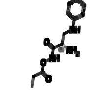 CCC(=O)ONC(=O)[C@@H](N)CNc1ccccc1